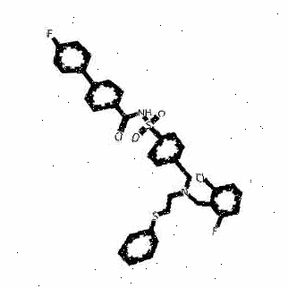 O=C(NS(=O)(=O)c1ccc(CN(CCSc2ccccc2)Cc2c(F)cccc2Cl)cc1)c1ccc(-c2ccc(F)cc2)cc1